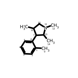 Cc1ccccc1C1C(C)CN(C)C1C